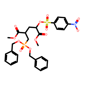 COC(=O)C(CC(OS(=O)(=O)c1ccc([N+](=O)[O-])cc1)C(=O)OC)CP(=O)(OCc1ccccc1)OCc1ccccc1